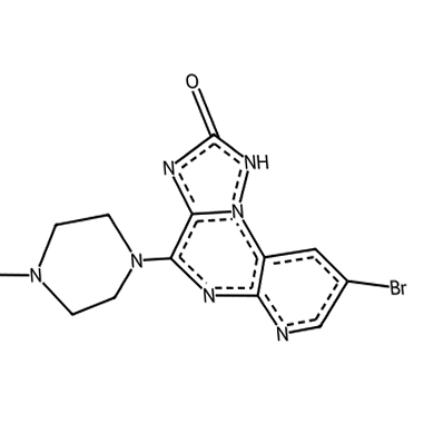 CN1CCN(c2nc3ncc(Br)cc3n3[nH]c(=O)nc23)CC1